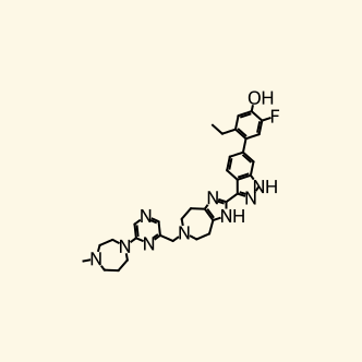 CCc1cc(O)c(F)cc1-c1ccc2c(-c3nc4c([nH]3)CCN(Cc3cncc(N5CCCN(C)CC5)n3)CC4)n[nH]c2c1